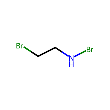 BrCCNBr